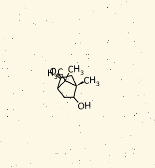 CC1(C)C2CC(O)[C@@]1(C)CC2=O